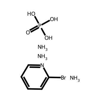 Brc1ccccn1.N.N.N.O=P(O)(O)O